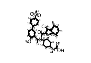 COc1ccc(-c2ccc(S(C)(=O)=O)cc2)cc1C(C)N(C(=O)c1sc2c(F)ccc(F)c2c1Cl)C1CCC(N(C)C(=O)O)CC1